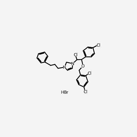 Br.Clc1ccc(C(OCc2ccc(Cl)cc2Cl)C(Cl)N2C=CN(CCCc3ccccc3)C2)cc1